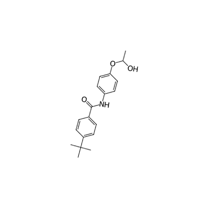 CC(O)Oc1ccc(NC(=O)c2ccc(C(C)(C)C)cc2)cc1